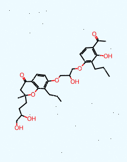 CCCc1c(OCC(O)COc2ccc3c(c2CCC)OC(C)(CCC(O)CO)CC3=O)ccc(C(C)=O)c1O